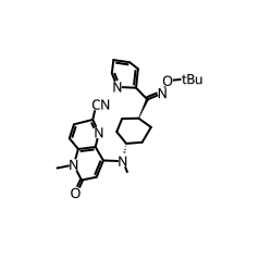 Cn1c(=O)cc(N(C)[C@H]2CC[C@H](/C(=N/OC(C)(C)C)c3ccccn3)CC2)c2nc(C#N)ccc21